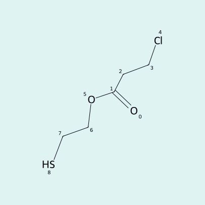 O=C(CCCl)OCCS